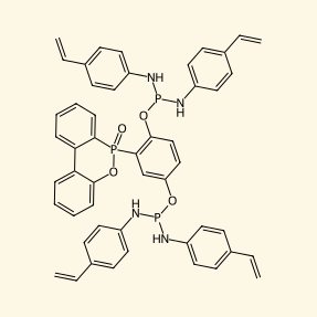 C=Cc1ccc(NP(Nc2ccc(C=C)cc2)Oc2ccc(OP(Nc3ccc(C=C)cc3)Nc3ccc(C=C)cc3)c(P3(=O)Oc4ccccc4-c4ccccc43)c2)cc1